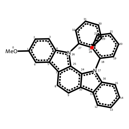 COc1ccc2c(c1)c1ccc3c4ccccc4n(-c4ccccc4)c3c1n2-c1ccccc1